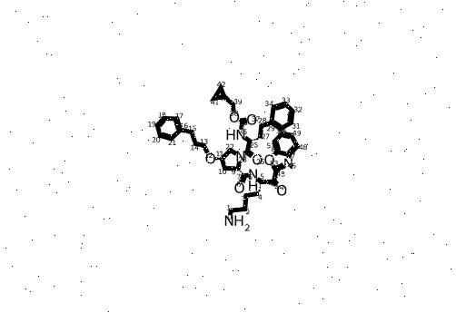 NCCCC[C@H](NC(=O)[C@@H]1C[C@@H](OCCCc2ccccc2)CN1C(=O)[C@@H](CCc1ccccc1)NC(=O)OCC1CC1)C(=O)c1nc2ccccc2o1